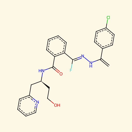 C=C(N/N=C(\F)c1ccccc1C(=O)N[C@@H](CCO)Cc1ccccn1)c1ccc(Cl)cc1